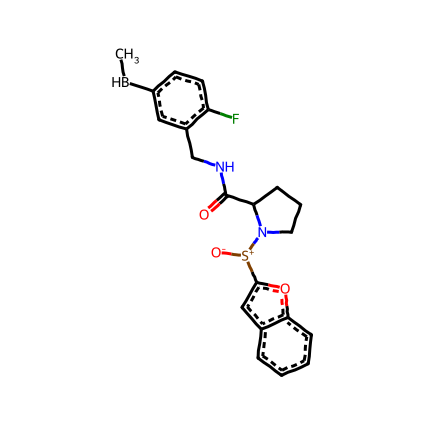 CBc1ccc(F)c(CNC(=O)C2CCCN2[S+]([O-])c2cc3ccccc3o2)c1